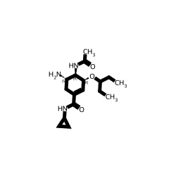 CCC(CC)O[C@@H]1C=C(C(=O)NC2CC2)C[C@H](N)[C@H]1NC(C)=O